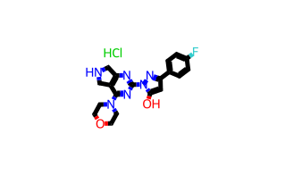 Cl.Oc1cc(-c2ccc(F)cc2)nn1-c1nc2c(c(N3CCOCC3)n1)CNC2